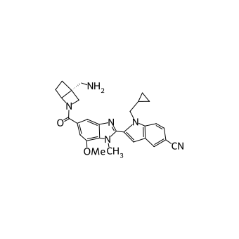 COc1cc(C(=O)N2C[C@]3(CN)CCC23)cc2nc(-c3cc4cc(C#N)ccc4n3CC3CC3)n(C)c12